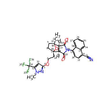 Cn1nc(OCC[C@@]23CC[C@@](C)(O2)[C@H]2C(=O)N(c4ccc(C#N)c5ccccc45)C(=O)[C@H]23)cc1C(F)(F)F